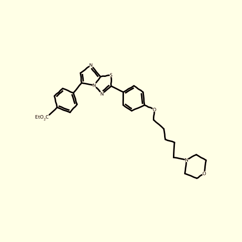 CCOC(=O)c1ccc(-c2cnc3sc(-c4ccc(OCCCCCN5CCOCC5)cc4)nn23)cc1